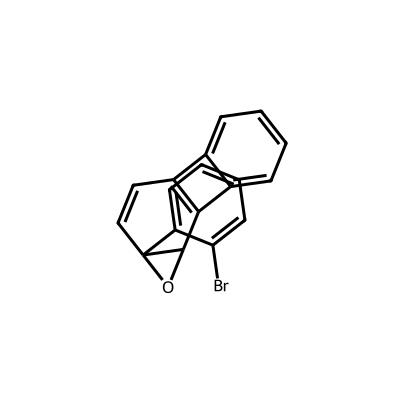 Brc1ccccc1C12C=CC3=C(c4ccccc43)C1O2